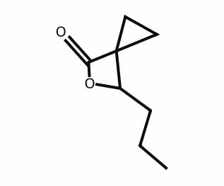 CCCC1OC(=O)C12CC2